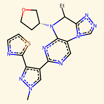 CCC1c2nncn2-c2cnc(-c3cn(C)nc3-c3nccs3)nc2N1[C@@H]1CCOC1